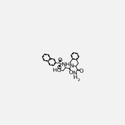 NC(=O)C1Cc2ccccc2CN1C(=O)C(CO)NS(=O)(=O)c1ccc2ccccc2c1